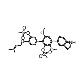 COc1cc(-c2ccc3[nH]ccc3c2)c(OC)c(OS(C)(=O)=O)c1-c1ccc(OCC=C(C)C)c(OS(C)(=O)=O)c1